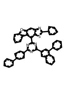 c1ccc(-c2ccc(-c3nc(-c4cc(-c5ccccc5)c5ccccc5c4)nc(-c4c5sc(-c6ccccc6)nc5cc5oc6ccccc6c45)n3)cc2)cc1